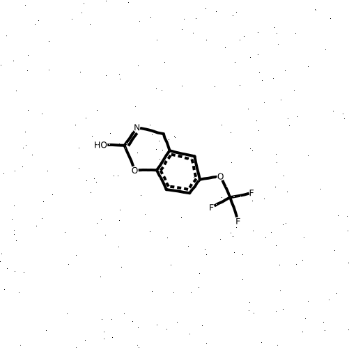 OC1=NCc2cc(OC(F)(F)F)ccc2O1